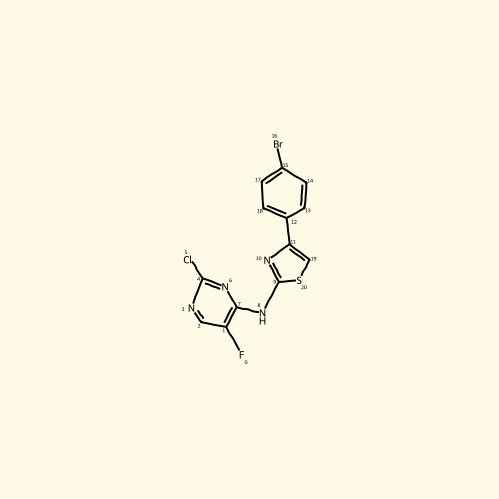 Fc1cnc(Cl)nc1Nc1nc(-c2ccc(Br)cc2)cs1